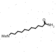 CNCCCCCCCCCCC(N)=O